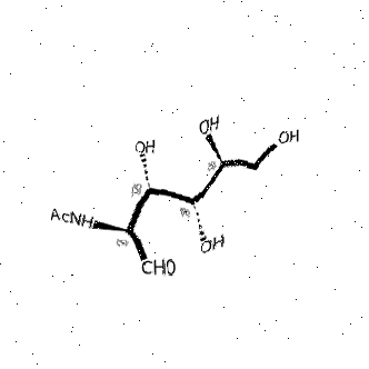 CC(=O)N[C@H](C=O)[C@H](O)[C@@H](O)[C@@H](O)CO